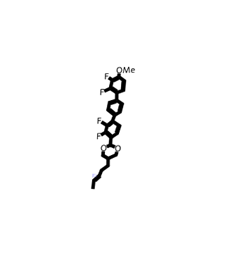 C/C=C/CCC1COC(c2ccc(-c3ccc(-c4ccc(OC)c(F)c4F)cc3)c(F)c2F)OC1